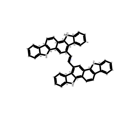 C(=C\c1cc2c(ccc3c4ccccc4sc32)c2oc3ccccc3c12)/c1cc2c(ccc3c4ccccc4sc32)c2[nH]c3ccccc3c12